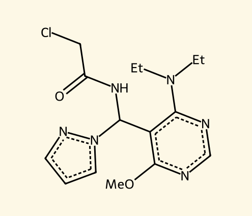 CCN(CC)c1ncnc(OC)c1C(NC(=O)CCl)n1cccn1